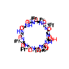 CC(C)C[C@@H]1C(=O)N(C)[C@H](CC(C)C)C(=O)N(C)[C@H](C(C)C)C(=O)N(C)[C@H]([C@@H]2OCC[C@H]2C)C(=O)N[C@H]([C@@H](C)O)C(=O)N(C)CC(=O)N(C)[C@@H](CC(C)C)C(=O)N[C@H](C(C)C)C(=O)N(C)[C@H](CC(C)C)C(=O)N[C@H](C)C(=O)N[C@@H](C)C(=O)N1C